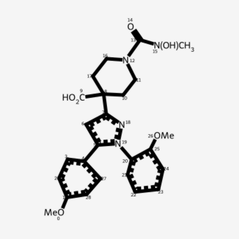 COc1ccc(-c2cc(C3(C(=O)O)CCN(C(=O)N(C)O)CC3)nn2-c2ccccc2OC)cc1